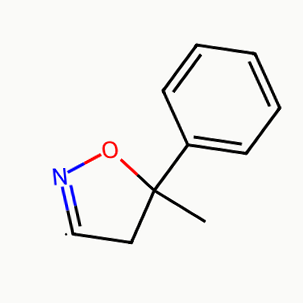 CC1(c2ccccc2)C[C]=NO1